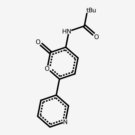 CC(C)(C)C(=O)Nc1ccc(-c2cccnc2)oc1=O